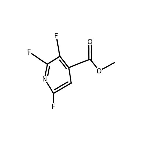 COC(=O)c1cc(F)nc(F)c1F